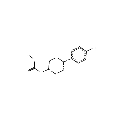 CCCOC(=O)OC1CCC(c2ccc(C#N)cc2)CC1